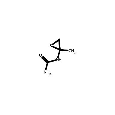 CC1(NC(N)=O)CS1